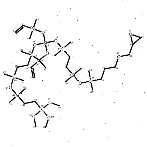 C=C[Si](C)(C)O[Si](O[Si](C)(C)C=C)(O[Si](C)(C)CC[Si](C)(C)O[Si](C)(C)CCCOCC1CO1)O[Si](C)(C)CC[Si](C)(C)O[Si](C)(C)CC[Si](OC)(OC)OC